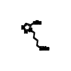 CCCCc1cnnn1CCCCSC